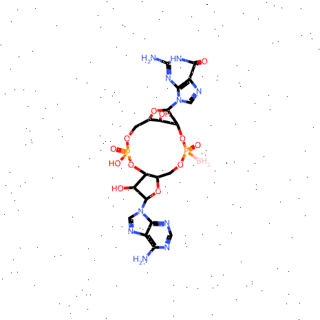 BP1(=O)OCC2OC(n3cnc4c(N)ncnc43)C(O)C2OP(=O)(O)OCC2OC(n3cnc4c(=O)[nH]c(N)nc43)C(O1)C2O